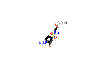 Nc1ccc(S(=O)(=O)NCCOS(=O)(=O)O)cc1Br